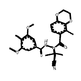 COc1cc(C(=O)NN(C(=O)c2ccc3c(c2C)OCCO3)C(C)(C)C#N)cc(OC)c1C